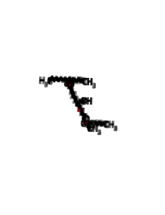 CCCCCCCCC(CCCCCCCC)OC(=O)CCCCCCCN(CCO)CCCCCCCOC(=O)C(CC)CSCCCCCC